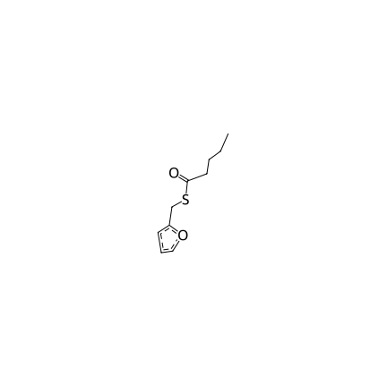 CCCCC(=O)SCc1ccco1